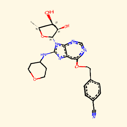 C[C@H]1O[C@@H](n2c(NC3CCOCC3)nc3c(OCc4ccc(C#N)cc4)ncnc32)[C@H](O)[C@@H]1O